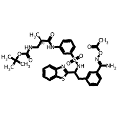 CC(=O)ON=C(N)c1cccc(CC(NS(=O)(=O)c2cccc(NC(=O)[C@H](C)CNC(=O)OC(C)(C)C)c2)c2nc3ccccc3s2)c1